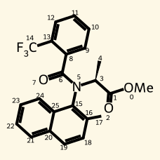 COC(=O)[C@H](C)N(C(=O)c1ccccc1C(F)(F)F)c1c(C)ccc2ccccc12